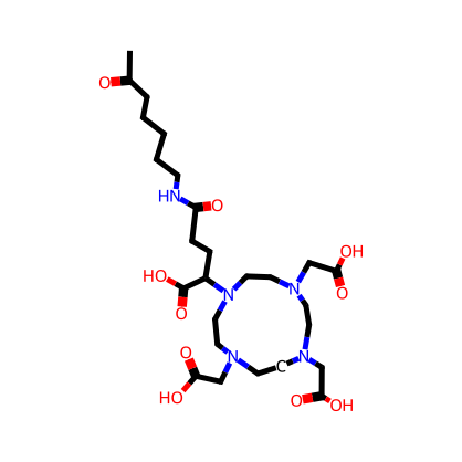 CC(=O)CCCCCNC(=O)CCC(C(=O)O)N1CCN(CC(=O)O)CCN(CC(=O)O)CCN(CC(=O)O)CC1